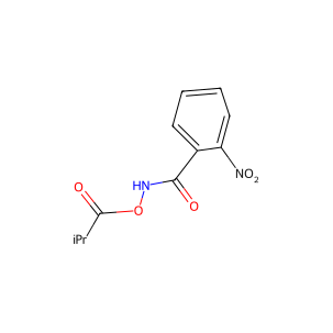 CC(C)C(=O)ONC(=O)c1ccccc1[N+](=O)[O-]